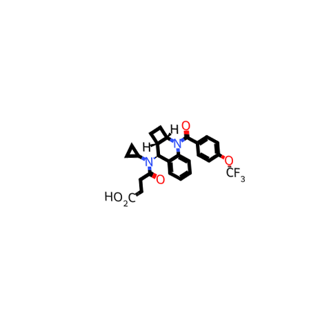 O=C(O)CCC(=O)N(C1CC1)[C@H]1c2ccccc2N(C(=O)c2ccc(OC(F)(F)F)cc2)[C@H]2CC[C@H]21